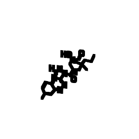 CCCC(C)(C)C[C@H](CN(O)C=O)C(=O)N(N)c1nnc2cc(C)ccc2n1